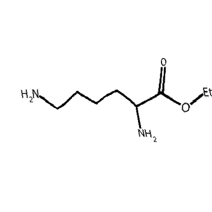 CCOC(=O)C(N)CCCCN